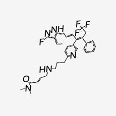 C/C=c1/c(F)n[nH]/c1=C/C=C/C(=C(\CC(F)(F)F)c1ccccc1)c1ccc(CCCNC/C=C/C(=O)N(C)C)nc1